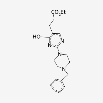 CCOC(=O)CCc1cnc(N2CCN(Cc3ccccc3)CC2)nc1O